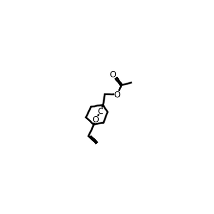 C=CC12CCC(COC(C)=O)(CC1)CO2